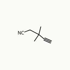 C#CC(C)(C)CC#N